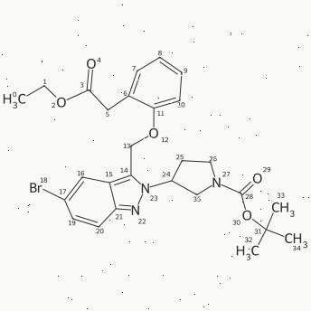 CCOC(=O)Cc1ccccc1OCc1c2cc(Br)ccc2nn1C1CCN(C(=O)OC(C)(C)C)C1